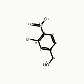 O=[N+]([O-])c1ccc([CH]O)cc1Br